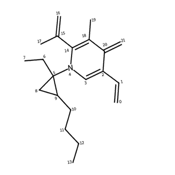 C=CC1=CN(C2(CC)CC2CCCC)C(C(=C)C)=C(C)C1=C